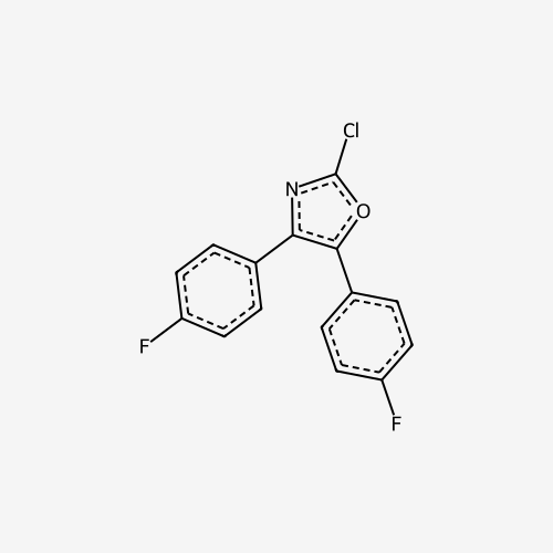 Fc1ccc(-c2nc(Cl)oc2-c2ccc(F)cc2)cc1